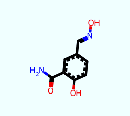 NC(=O)c1cc(C=NO)ccc1O